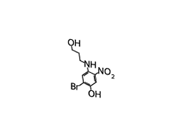 O=[N+]([O-])c1cc(O)c(Br)cc1NCCCO